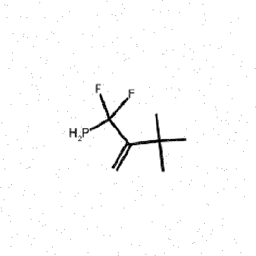 C=C(C(C)(C)C)C(F)(F)P